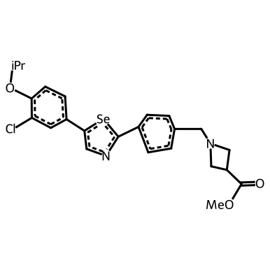 COC(=O)C1CN(Cc2ccc(-c3ncc(-c4ccc(OC(C)C)c(Cl)c4)[se]3)cc2)C1